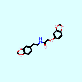 O=C(COc1ccc2c(c1)OCO2)NCCc1ccc2c(c1)OCO2